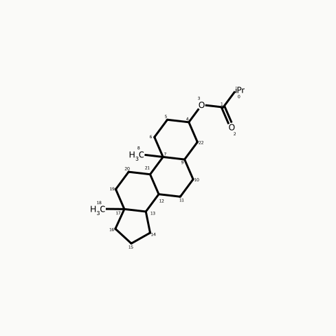 CC(C)C(=O)OC1CCC2(C)C(CCC3C4CCCC4(C)CCC32)C1